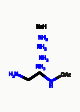 CC(=O)ONCCN.N.N.N.N.[NaH]